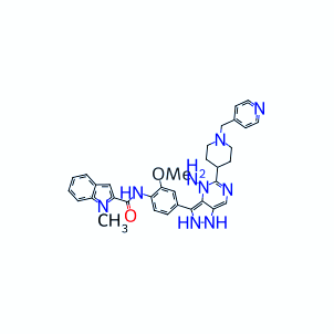 COc1cc(C2=C3C(=CN=C(C4CCN(Cc5ccncc5)CC4)N3N)NN2)ccc1NC(=O)c1cc2ccccc2n1C